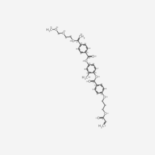 C=CC(=O)OCCCOc1ccc(C(=O)Oc2ccc(OC(=O)c3ccc(C(=C)OCCOCOC)cc3)cc2C)cc1